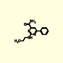 CCCNc1nc(C(N)=O)cc(-c2ccccc2)n1